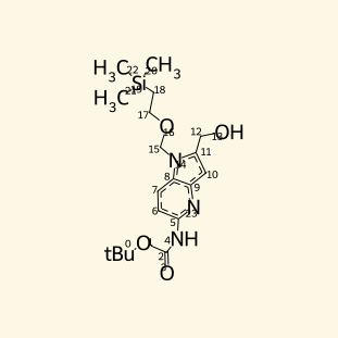 CC(C)(C)OC(=O)Nc1ccc2c(cc(CO)n2COCC[Si](C)(C)C)n1